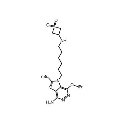 CCCCc1nc2c(N)nnc(OC(C)C)c2n1CCCCCCNC1CS(=O)(=O)C1